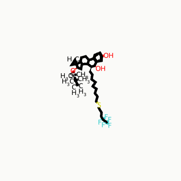 CC(C)C(C)(C)[Si](C)(C)O[C@@H]1CC2C3C(CC[C@]2(C)C12CC2)c1ccc(O)cc1[C@@H](O)[C@H]3CCCCCCCCCSCCCC(F)(F)C(F)(F)F